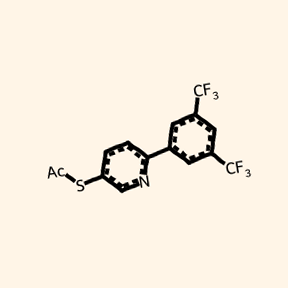 CC(=O)Sc1ccc(-c2cc(C(F)(F)F)cc(C(F)(F)F)c2)nc1